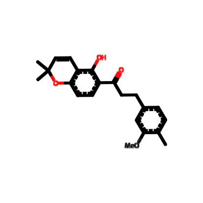 COc1cc(CCC(=O)c2ccc3c(c2O)C=CC(C)(C)O3)ccc1C